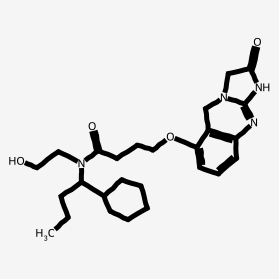 CCCC(C1CCCCC1)N(CCO)C(=O)CCCOc1cccc2c1CN1CC(=O)NC1=N2